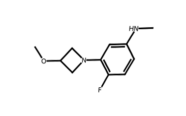 CNc1ccc(F)c(N2CC(OC)C2)c1